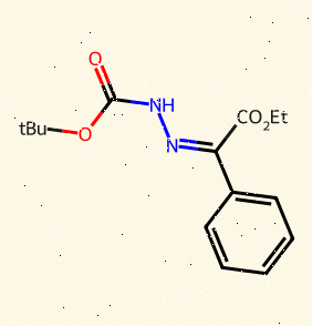 CCOC(=O)C(=NNC(=O)OC(C)(C)C)c1ccccc1